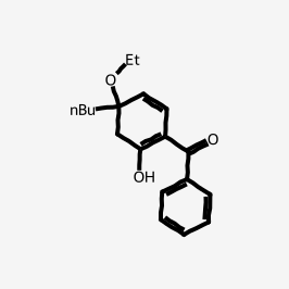 CCCCC1(OCC)C=CC(C(=O)c2ccccc2)=C(O)C1